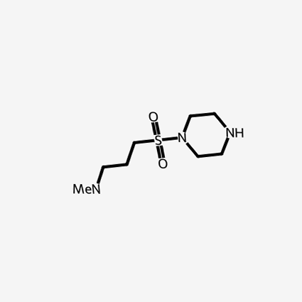 CNCCCS(=O)(=O)N1CCNCC1